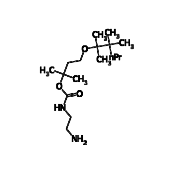 CCCC(C)(C)C(C)(C)OCCC(C)(C)OC(=O)NCCN